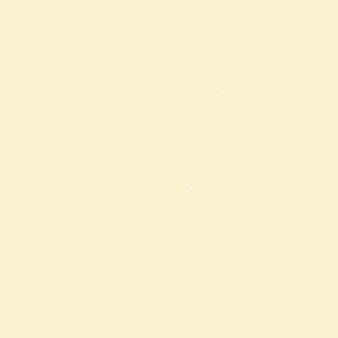 CC1(C)c2ccccc2-c2ccc(N(c3cccc(-c4ccccc4-c4ccc5c(c4)c4ccccc4n5-c4cc(-c5ccc(-c6ccccc6)cc5)cc(-c5ccc(-c6ccccc6)cc5)c4)c3)c3cccc4ccccc34)cc21